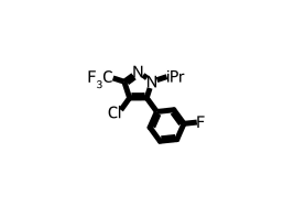 CC(C)n1nc(C(F)(F)F)c(Cl)c1-c1cccc(F)c1